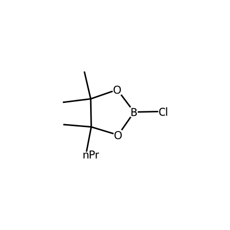 CCCC1(C)OB(Cl)OC1(C)C